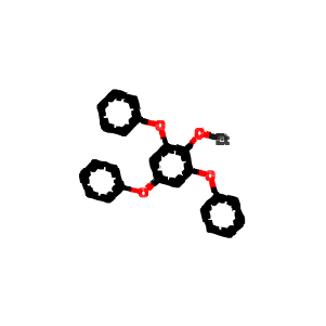 CCOc1c(Oc2ccccc2)cc(Oc2ccccc2)cc1Oc1ccccc1